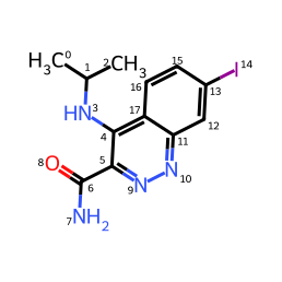 CC(C)Nc1c(C(N)=O)nnc2cc(I)ccc12